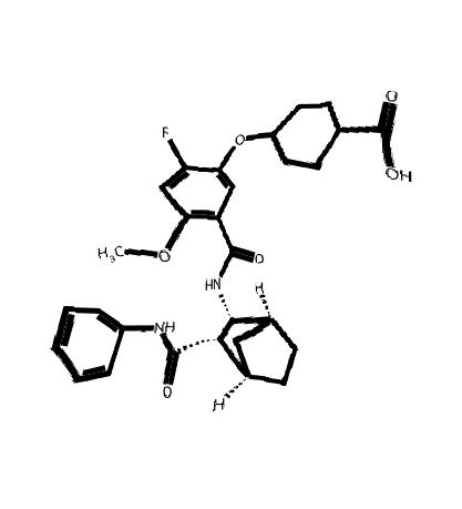 COc1cc(F)c(OC2CCC(C(=O)O)CC2)cc1C(=O)N[C@@H]1[C@H]2CC[C@H](C2)[C@@H]1C(=O)Nc1ccccc1